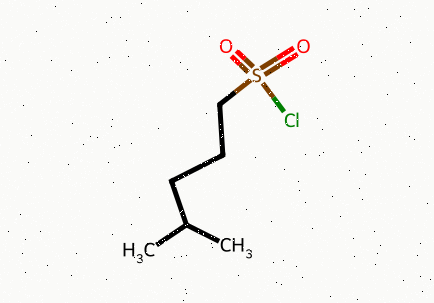 CC(C)CCCS(=O)(=O)Cl